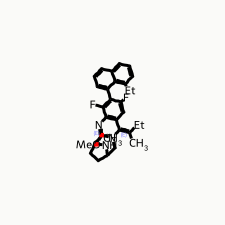 CC/C(C)=C(\c1cc(F)c(-c2cccc3cccc(CC)c23)c(F)c1/N=C(\C)OC)N1CC2CCC(C1)N2